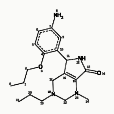 CCCOc1ccc(N)cc1C1NC(=O)C2=C1CN(CCC)CN2C